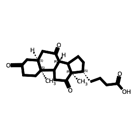 C[C@]12C(=O)CC3[C@@H](C(=O)C[C@@H]4CC(=O)CC[C@]34C)C1CC[C@@H]2CCCC(=O)O